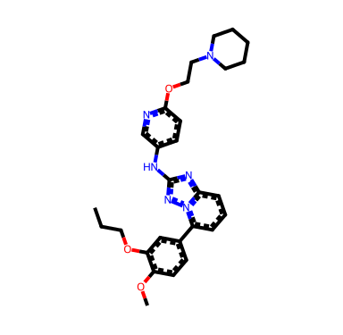 CCCOc1cc(-c2cccc3nc(Nc4ccc(OCCN5CCCCC5)nc4)nn23)ccc1OC